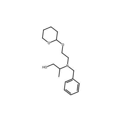 CC(CO)N(CCOC1CCCCO1)Cc1ccccc1